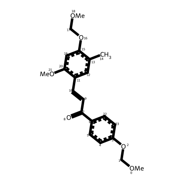 COCOc1ccc(C(=O)/C=C/c2cc(C)c(OCOC)cc2OC)cc1